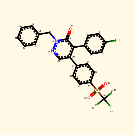 O=c1c(-c2ccc(F)cc2)c(-c2ccc(S(=O)(=O)C(F)(F)F)cc2)cnn1Cc1ccccc1